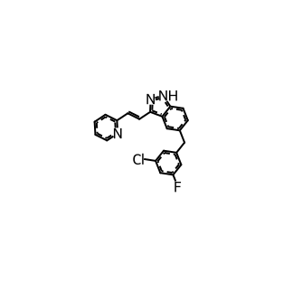 Fc1cc(Cl)cc(Cc2ccc3[nH]nc(C=Cc4ccccn4)c3c2)c1